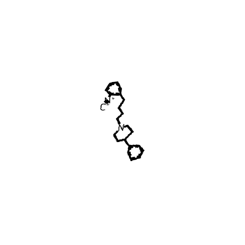 [C-]#[N+]c1ccccc1CCCCN1CCC(c2ccccc2)CC1